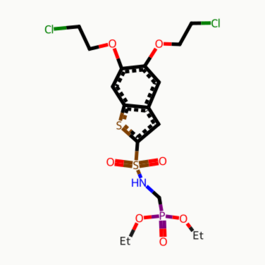 CCOP(=O)(CNS(=O)(=O)c1cc2cc(OCCCl)c(OCCCl)cc2s1)OCC